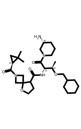 C[C@@H](OCC1CCCCC1)[C@H](NC(=O)C1CCOC12CN(C(=O)[C@H]1CC1(C)C)C2)C(=O)N1CCC[C@@H](N)C1